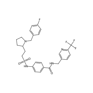 O=C(NCc1ccc(C(F)(F)F)nc1)c1ccc(NS(=O)(=O)CCC2CCCN2Cc2ccc(F)cc2)cc1